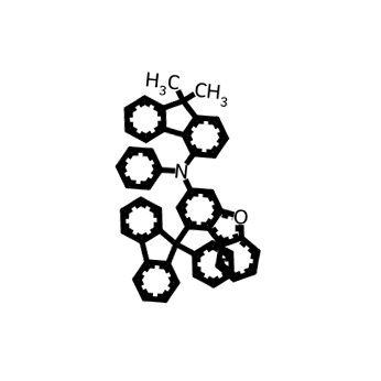 CC1(C)c2ccccc2-c2c(N(c3ccccc3)c3cc(C4(c5ccccc5)c5ccccc5-c5ccccc54)c4c(c3)oc3ccccc34)cccc21